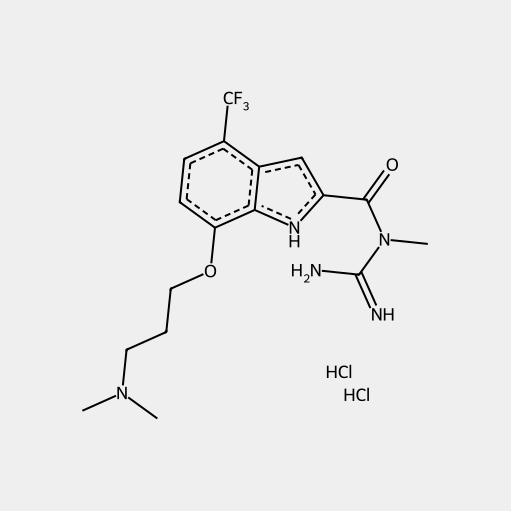 CN(C)CCCOc1ccc(C(F)(F)F)c2cc(C(=O)N(C)C(=N)N)[nH]c12.Cl.Cl